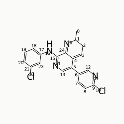 CC1CC=c2c(-c3ccc(Cl)nc3)cnc(Nc3cccc(Cl)c3)c2=N1